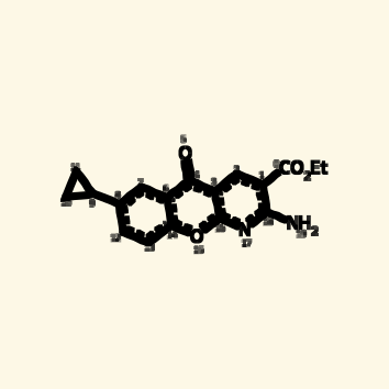 CCOC(=O)c1cc2c(=O)c3cc(C4CC4)ccc3oc2nc1N